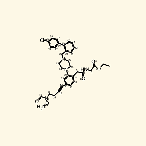 CCOC(=O)CNC(=O)Cc1ccc(C#CCCN(C=O)ON)cc1N1CCN(Cc2ccccc2-c2ccc(Cl)cc2)CC1